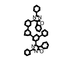 c1ccc(-c2cc(-c3cccc(-c4cccc(-c5nc(-c6ccccc6)nc6oc7ccccc7c56)c4)c3)cc(-c3nc(-c4ccccc4)nc4oc5ccccc5c34)c2)cc1